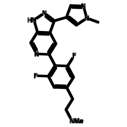 CNCCc1cc(F)c(-c2cc3c(-c4cnn(C)c4)n[nH]c3cn2)c(F)c1